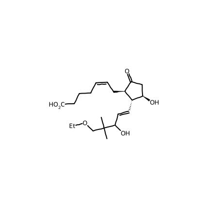 CCOCC(C)(C)C(O)/C=C/[C@H]1[C@H](O)CC(=O)[C@@H]1C/C=C\CCCC(=O)O